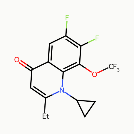 CCc1cc(=O)c2cc(F)c(F)c(OC(F)(F)F)c2n1C1CC1